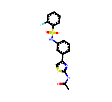 CC(=O)Nc1nc(-c2cccc(NS(=O)(=O)c3ccccc3F)c2)cs1